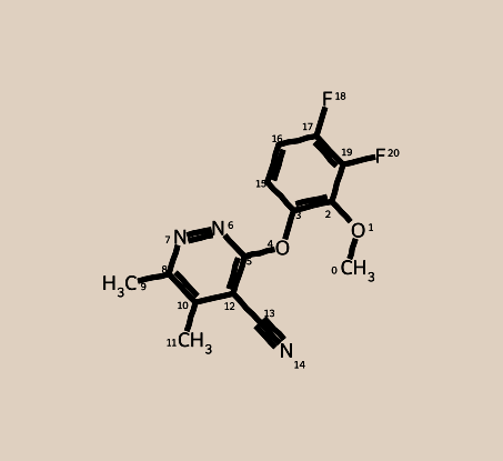 COc1c(Oc2nnc(C)c(C)c2C#N)ccc(F)c1F